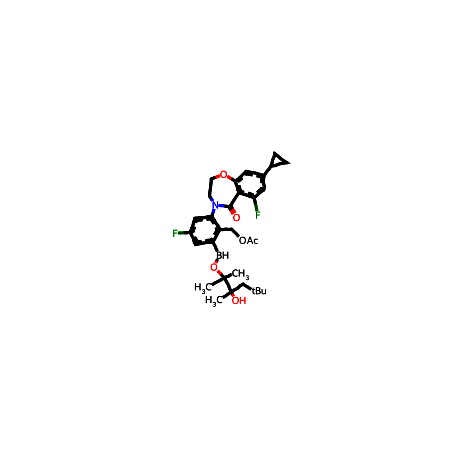 CC(=O)OCc1c(BOC(C)(C)C(C)(O)CC(C)(C)C)cc(F)cc1N1CCOc2cc(C3CC3)cc(F)c2C1=O